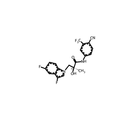 C[C@](O)(Cn1cc(F)c2cc(F)ccc21)C(=O)Nc1ccc(C#N)c(C(F)(F)F)c1